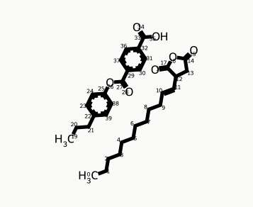 CCCCCCCCCCC=CC1CC(=O)OC1=O.CCCc1ccc(OC(=O)c2ccc(C(=O)O)cc2)cc1